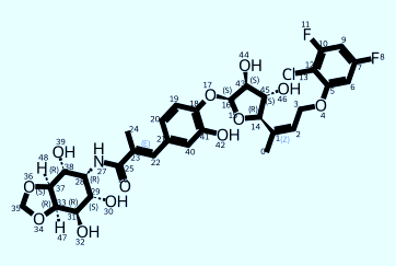 C/C(=C/COc1cc(F)cc(F)c1Cl)[C@H]1O[C@@H](Oc2ccc(/C=C(\C)C(=O)N[C@@H]3[C@H](O)[C@@H](O)[C@H]4OCO[C@H]4[C@@H]3O)cc2O)[C@@H](O)[C@@H]1O